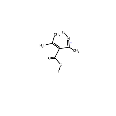 CC/N=C(/C)C(C(=O)OI)=C(C)C